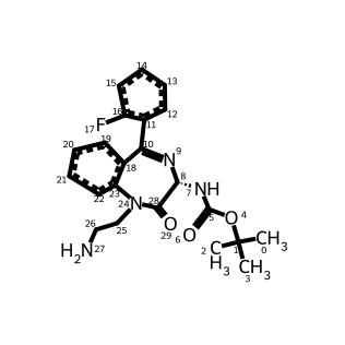 CC(C)(C)OC(=O)N[C@H]1N=C(c2ccccc2F)c2ccccc2N(CCN)C1=O